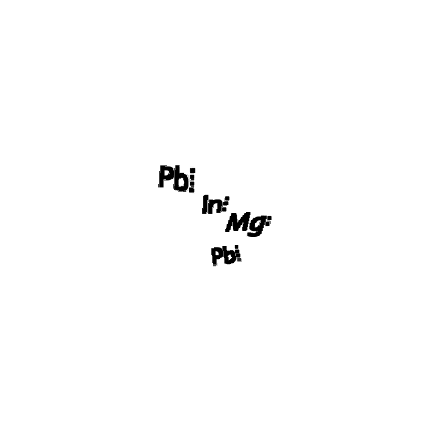 [In].[Mg].[Pb].[Pb]